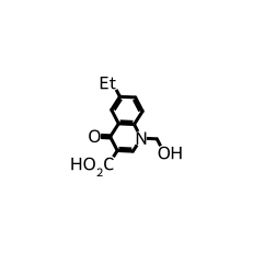 CCc1ccc2c(c1)c(=O)c(C(=O)O)cn2CO